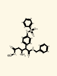 CC(C)(C)OC(=O)CC(N)C(C(=O)OCc1ccccc1)c1ccc(OS(=O)(=O)c2ccccc2)cc1